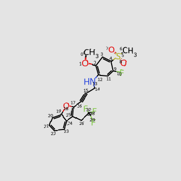 COc1cc(S(C)(=O)=O)c(F)cc1NCC#Cc1oc2ccccc2c1CC(F)(F)F